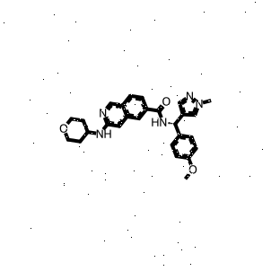 COc1ccc([C@H](NC(=O)c2ccc3cnc(NC4CCOCC4)cc3c2)c2cnn(C)c2)cc1